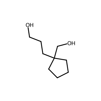 OCCCC1(CO)CCCC1